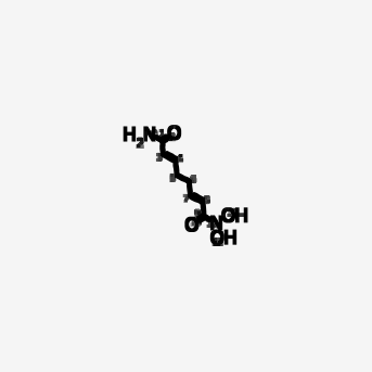 NC(=O)C=CCCC=CC(=O)N(O)O